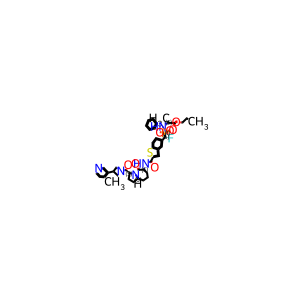 CCCOC(=O)[C@H](C)N[P@](=O)(Oc1ccccc1)[C@H](F)c1ccc2sc(C(=O)N[C@H]3CCC[C@H]4CC[C@@H](C(=O)N5CC(c6cnccc6C)C5)N4C3=O)cc2c1